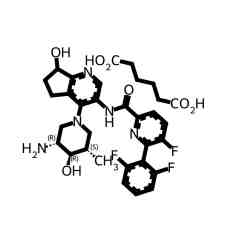 C[C@H]1CN(c2c(NC(=O)c3ccc(F)c(-c4c(F)cccc4F)n3)cnc3c2CCC3O)C[C@@H](N)[C@@H]1O.O=C(O)CCCCC(=O)O